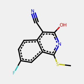 CSc1nc(O)c(C#N)c2ccc(F)cc12